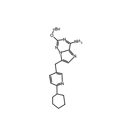 CCCCOc1nc(N)c2ncc(Cc3ccc(C4CCCCC4)nc3)n2n1